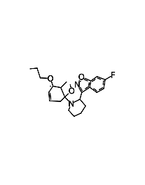 CCCO[C]1C=CCC(OC)(N2CCCCC2c2noc3cc(F)ccc23)C1C